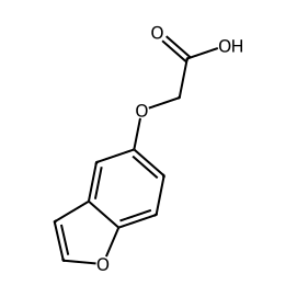 O=C(O)COc1ccc2occc2c1